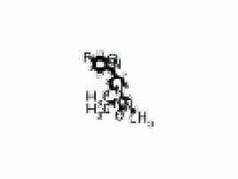 CCN1CC(N2CCC(c3noc4cc(F)ccc34)CC2)N(C(C)C)C1=O